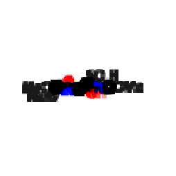 COc1ccc(/N=N/c2c(S(=O)(=O)O)cc3cc(NC(=O)c4ccc(OC)c(OC)c4)ccc3c2O)cc1